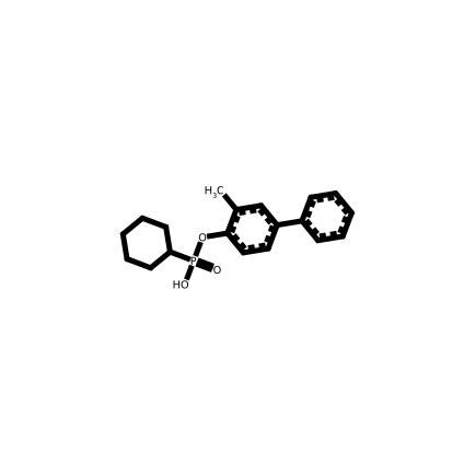 Cc1cc(-c2ccccc2)ccc1OP(=O)(O)C1CCCCC1